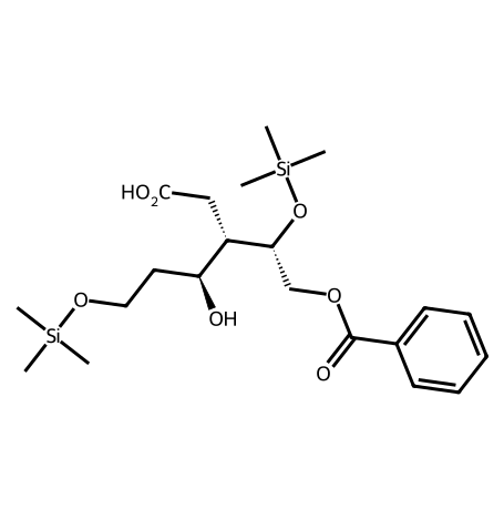 C[Si](C)(C)OCC[C@H](O)[C@H](CC(=O)O)[C@@H](COC(=O)c1ccccc1)O[Si](C)(C)C